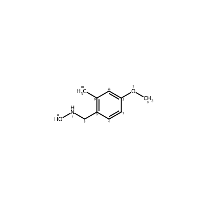 COc1ccc(CNO)c(C)c1